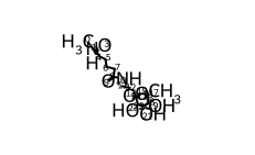 CNC(=O)CCCCC(=O)NCCO[C@@H]1O[C@@H](C)[C@@H](O)[C@@H](O)[C@@H]1O